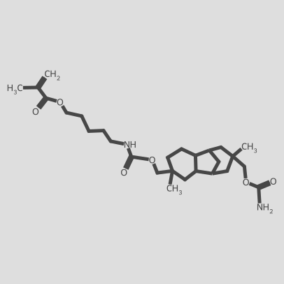 C=C(C)C(=O)OCCCCCNC(=O)OCC1(C)CCC2C3CC(CC(C)(COC(N)=O)C3)C2C1